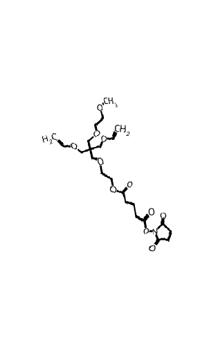 C=COCC(COC=C)(COCCOC)COCCOC(=O)CCCC(=O)ON1C(=O)CCC1=O